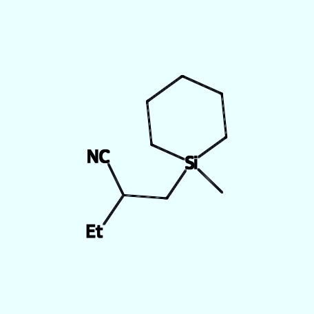 CCC(C#N)C[Si]1(C)CCCCC1